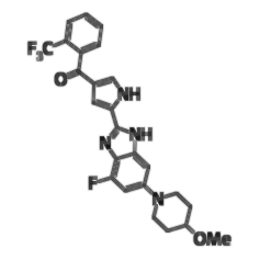 COC1CCN(c2cc(F)c3nc(-c4cc(C(=O)c5ccccc5C(F)(F)F)c[nH]4)[nH]c3c2)CC1